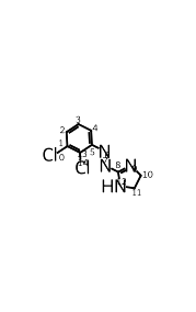 Clc1cccc(N=NC2=NCCN2)c1Cl